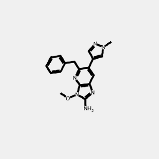 COn1c(N)nc2cc(-c3cnn(C)c3)c(Cc3ccccc3)nc21